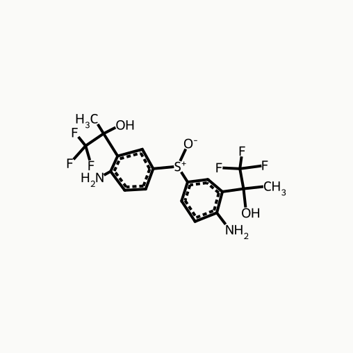 CC(O)(c1cc([S+]([O-])c2ccc(N)c(C(C)(O)C(F)(F)F)c2)ccc1N)C(F)(F)F